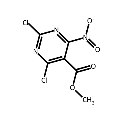 COC(=O)c1c(Cl)nc(Cl)nc1[N+](=O)[O-]